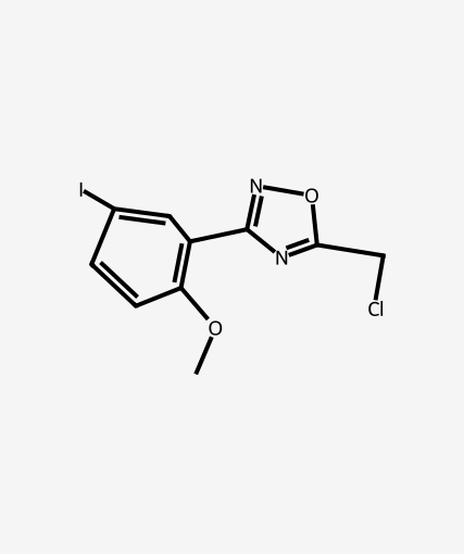 COc1ccc(I)cc1-c1noc(CCl)n1